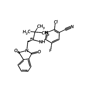 CC(C)(C)[C@H](CN1C(=O)c2ccccc2C1=O)Nc1nc(Cl)c(C#N)cc1F